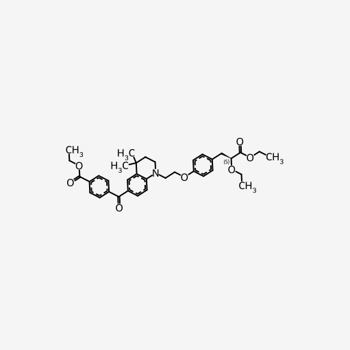 CCOC(=O)c1ccc(C(=O)c2ccc3c(c2)C(C)(C)CCN3CCOc2ccc(C[C@H](OCC)C(=O)OCC)cc2)cc1